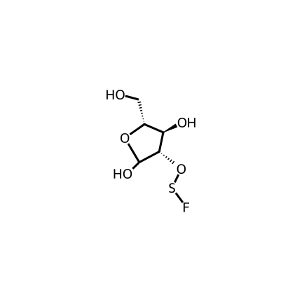 OC[C@H]1OC(O)[C@@H](OSF)[C@@H]1O